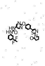 CC(F)(F)c1cccc(NC(=O)Nc2cnc(Oc3ccc(-c4cnc(N5CCCC5=O)s4)cc3)nc2)c1